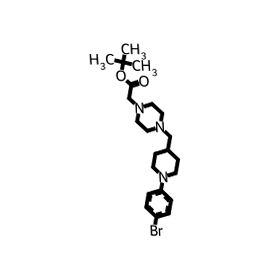 CC(C)(C)OC(=O)CN1CCN(CC2CCN(c3ccc(Br)cc3)CC2)CC1